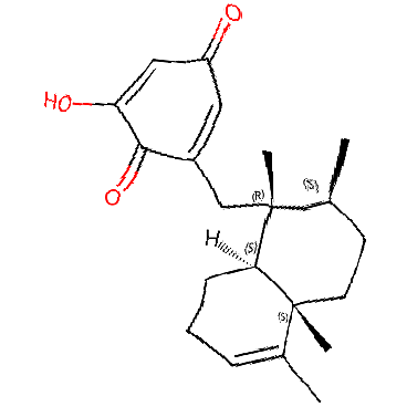 CC1=CCC[C@H]2[C@](C)(CC3=CC(=O)C=C(O)C3=O)[C@@H](C)CC[C@]12C